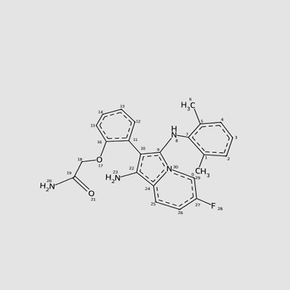 Cc1cccc(C)c1Nc1c(-c2ccccc2OCC(N)=O)c(N)c2ccc(F)cn12